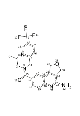 CCCN(Cc1ccc(C(F)(F)F)cn1)C(=O)c1ccc2nc(N)c3c(c2c1)COC3